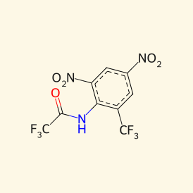 O=C(Nc1c([N+](=O)[O-])cc([N+](=O)[O-])cc1C(F)(F)F)C(F)(F)F